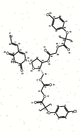 CC(C)(Oc1ccc(Cl)cc1)C(=O)OCC(=O)OC[C@@H]1O[C@H](n2cc(/C=C/Br)c(=O)[nH]c2=O)CC1OC(=O)COC(=O)C(C)(C)Oc1ccc(Cl)cc1